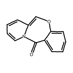 O=C1c2ccccc2OC=C2C=CC=CN12